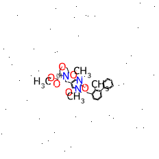 COC(=O)[C@@H]1COCCN1Cc1c(OC)nc(OCc2cccc(-c3ccccc3)c2C)nc1OC